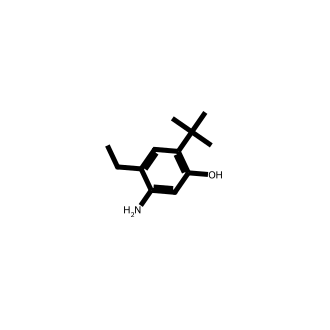 CCc1cc(C(C)(C)C)c(O)cc1N